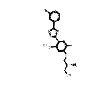 Cl.N[C@H](CO)COc1cc(Cl)c(-c2nnc(-c3cccc(Cl)c3)s2)cc1F